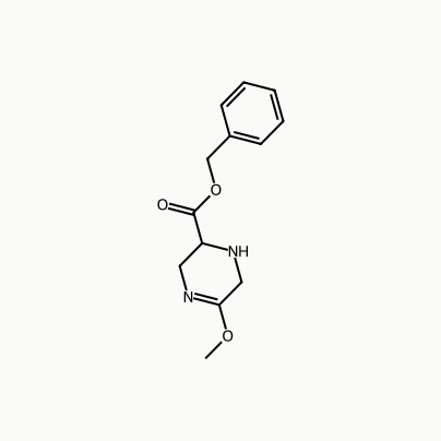 COC1=NCC(C(=O)OCc2ccccc2)NC1